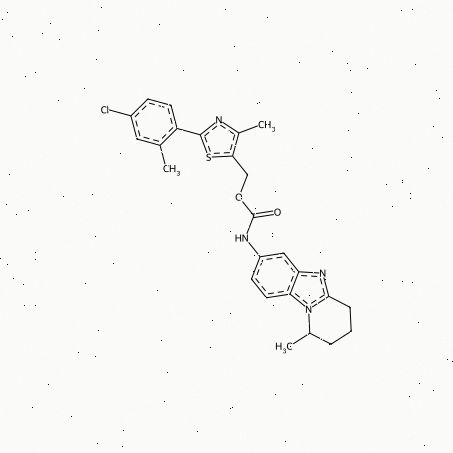 Cc1cc(Cl)ccc1-c1nc(C)c(COC(=O)Nc2ccc3c(c2)nc2n3C(C)CCC2)s1